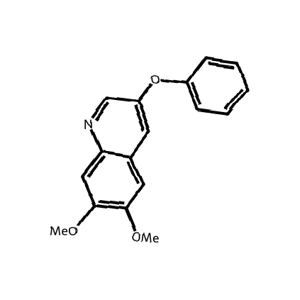 COc1cc2cc(Oc3ccccc3)cnc2cc1OC